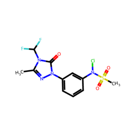 Cc1nn(-c2cccc(N(Cl)S(C)(=O)=O)c2)c(=O)n1C(F)F